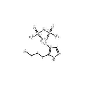 CC(C)CCCc1[nH]cc[n+]1C.O=S(=O)([N-]S(=O)(=O)C(F)(F)F)C(F)(F)F